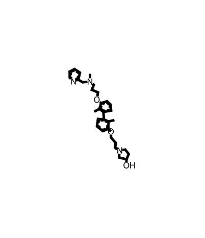 Cc1c(OCCCN(C)Cc2ccccn2)cccc1-c1cccc(OCCCN2CCC(O)C2)c1C